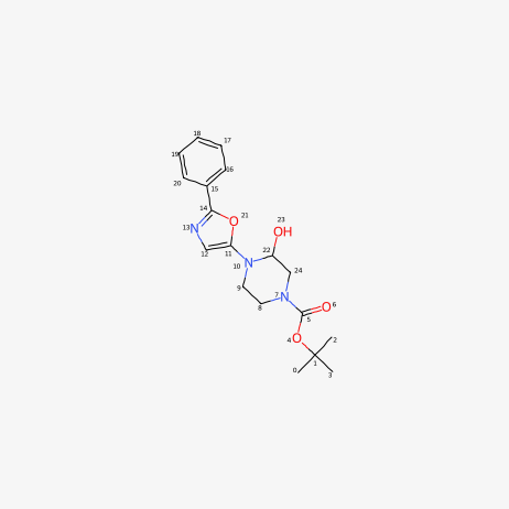 CC(C)(C)OC(=O)N1CCN(c2cnc(-c3ccccc3)o2)C(O)C1